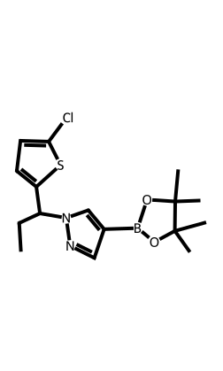 CCC(c1ccc(Cl)s1)n1cc(B2OC(C)(C)C(C)(C)O2)cn1